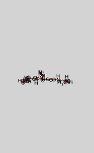 C[C@@H]1NC(=O)N[C@@H]1CCCCCC(=O)NCCCOCCOCCOCCCNC(=O)[C@H](CCCCNC(=O)OCCCC1=C[C@@H]2O[C@@]23[C@@]2(C)CCC4=C(COC4=O)[C@@H]2C[C@@H]2O[C@@]23C1=O)NC(=O)c1cccc(N=[N+]=[N-])c1